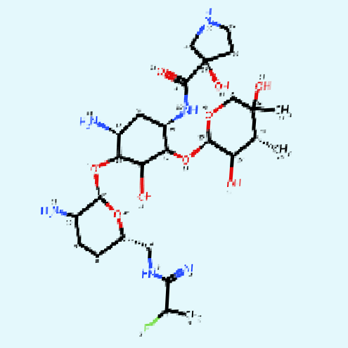 CC(F)C(=N)NC[C@@H]1CCC(N)[C@@H](OC2C(O)C(O[C@H]3OCC(C)(O)[C@H](C)C3O)[C@H](NC(=O)[C@@]3(O)CCNC3)C[C@@H]2N)O1